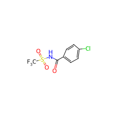 O=C(NS(=O)(=O)C(F)(F)F)c1ccc(Cl)cc1